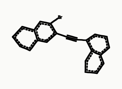 Brc1cc2ccccc2cc1C#Cc1cccc2ccccc12